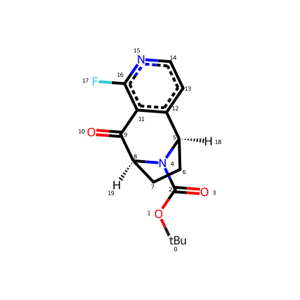 CC(C)(C)OC(=O)N1[C@@H]2CC[C@H]1C(=O)c1c2ccnc1F